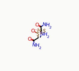 CN.NC(=O)C[S+]([O-])CC(N)=O.S